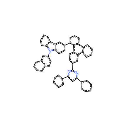 c1ccc(-c2cc(-c3ccccc3)nc(-c3ccc4c(c3)c3ccccc3c3cccc(-c5ccc6c(c5)c5ccccc5n6-c5ccc6ccccc6c5)c34)n2)cc1